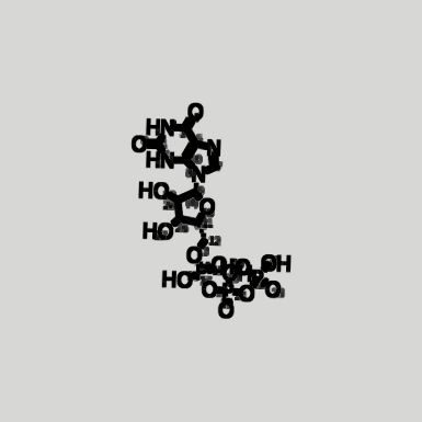 O=c1[nH]c(=O)c2ncn([C@@H]3O[C@H](COP(=O)(O)OP(=O)(O)OP(=O)(O)O)C(O)C3O)c2[nH]1